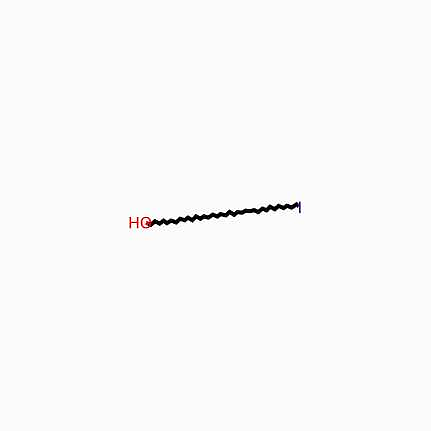 OCCCCCCCCCCCCCCCCCCCCCCCCCCCCCCCCCCCCI